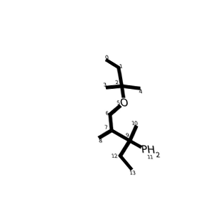 CCC(C)(C)OCC(C)C(C)(P)CC